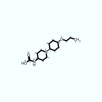 CCCO[C@H]1CC[C@@H](N2CCC(NC(=O)O)CC2)CC1